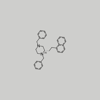 c1ccc(CN2CCN(Cc3ccccc3)[C@@H](CCc3cccc4ccccc34)C2)cc1